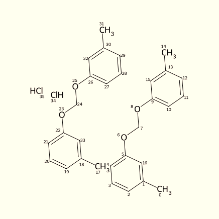 Cc1cccc(OCOc2cccc(C)c2)c1.Cc1cccc(OCOc2cccc(C)c2)c1.Cl.Cl